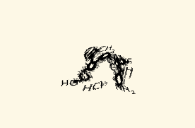 C[C@H]1COCCN1Cc1cc(CN2CCCN(CCO)CC2)ccc1-c1cccc(Oc2ncc(F)cc2C(=O)NC2CCC(N)CC2)c1.Cl